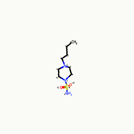 CCCCN1CCN(S(N)(=O)=O)CC1